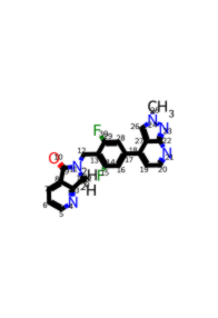 [2H]C1([2H])c2ncccc2C(=O)N1Cc1c(F)cc(-c2ccnc3nn(C)cc23)cc1F